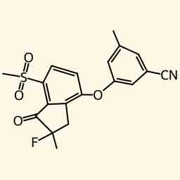 Cc1cc(C#N)cc(Oc2ccc(S(C)(=O)=O)c3c2CC(C)(F)C3=O)c1